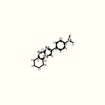 CN(C)c1ccc(-c2cn3c4c(sc3n2)CCCC4)cc1